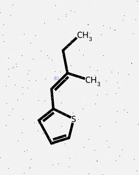 CC/C(C)=C/c1cccs1